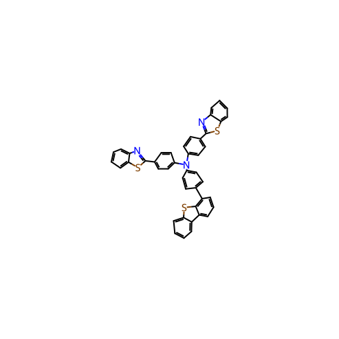 c1ccc2sc(-c3ccc(N(c4ccc(-c5nc6ccccc6s5)cc4)c4ccc(-c5cccc6c5sc5ccccc56)cc4)cc3)nc2c1